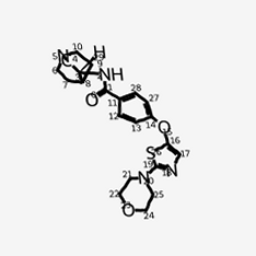 O=C(N[C@H]1CN2CCC1CC2)c1ccc(Oc2cnc(N3CCOCC3)s2)cc1